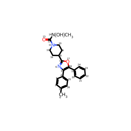 Cc1ccc(-c2nc(C3CCN(C(=O)N(C)O)CC3)oc2-c2ccccc2)cc1